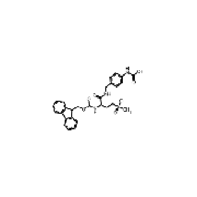 CS(=O)(=O)CCC(NC(=O)OCC1c2ccccc2-c2ccccc21)C(=O)NCc1ccc(NC(=O)O)cc1